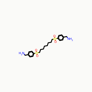 NCc1ccc(S(=O)(=O)CCCCCCCCS(=O)(=O)c2ccc(CN)cc2)cc1